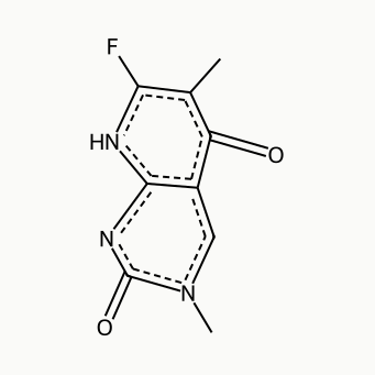 Cc1c(F)[nH]c2nc(=O)n(C)cc2c1=O